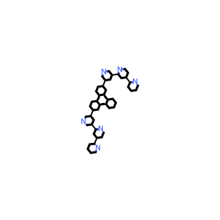 c1ccc(-c2ccnc(-c3cncc(-c4ccc5c6ccc(-c7cncc(-c8cc(-c9ccccn9)ccn8)c7)cc6c6ccccc6c5c4)c3)c2)nc1